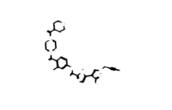 CC#CCn1cc(-c2cnc(C(=O)Nc3ccc(C(=O)N4CCN(C(=O)C5CCNCC5)CC4)c(Cl)c3)n2C)c(C(F)(F)F)n1